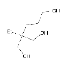 CCC(CO)(CO)CCCO